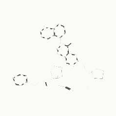 Cc1nc2c(N3CCN(C(=O)OCc4ccccc4)[C@@H](CC#N)C3)nc(OC[C@@H]3CCCN3C)nc2c(=O)n1-c1cccc2ncccc12